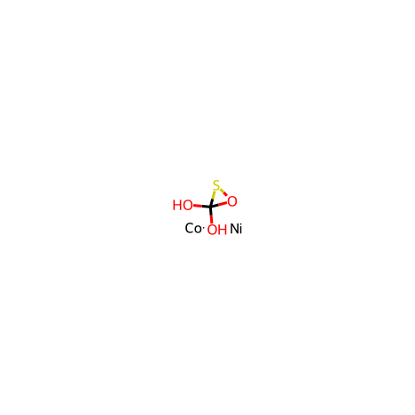 OC1(O)OS1.[Co].[Ni]